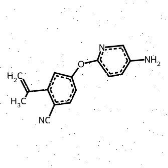 C=C(C)c1cc(Oc2ccc(N)cn2)ccc1C#N